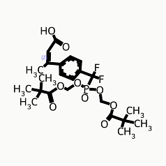 C/C(=C/C(=O)O)c1ccc(C(F)(F)P(=O)(OCOC(=O)C(C)(C)C)OCOC(=O)C(C)(C)C)cc1